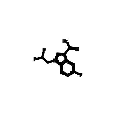 CC(C)C(=O)c1cn(CC(F)F)c2ccc(F)cc12